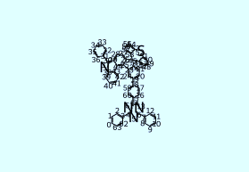 c1ccc(-c2nc(-c3ccccc3)nc(-c3ccc(-c4ccc5c(c4)-c4c(ccc6c(-c7ccccc7)nc7ccccc7c46)C54c5ccccc5Sc5ccccc54)cc3)n2)cc1